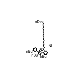 CCCCCCCCCCCCCCCCCCCCCCC=CCCc1ccccc1C1=C(CCCC)C(CCCC)=C(c2cccc(CCCC)c2)[N+]1=[N-].[Ni]